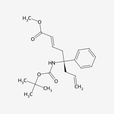 C=CC[C@](CC=CC(=O)OC)(NC(=O)OC(C)(C)C)c1ccccc1